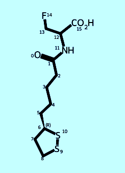 O=C(CCCC[C@@H]1CCSS1)NC(CF)C(=O)O